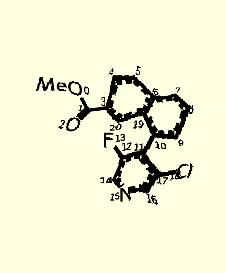 COC(=O)c1ccc2cccc(-c3c(F)cncc3Cl)c2c1